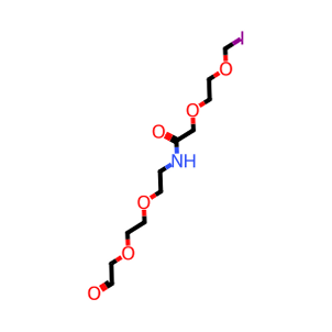 O=CCOCCOCCNC(=O)COCCOCI